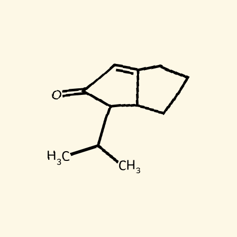 CC(C)C1C(=O)C=C2CCCC21